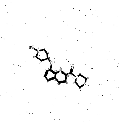 CC(C)N1CCC(Oc2cccc3ccc(C(=O)N4CCSCC4)nc23)CC1